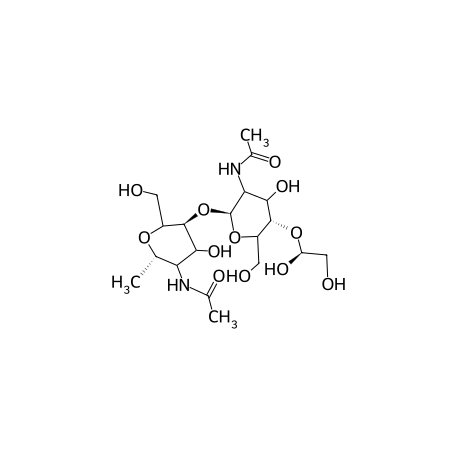 CC(=O)NC1C(O)[C@H](O[C@H](O)CO)C(CO)O[C@H]1O[C@@H]1C(CO)O[C@@H](C)C(NC(C)=O)C1O